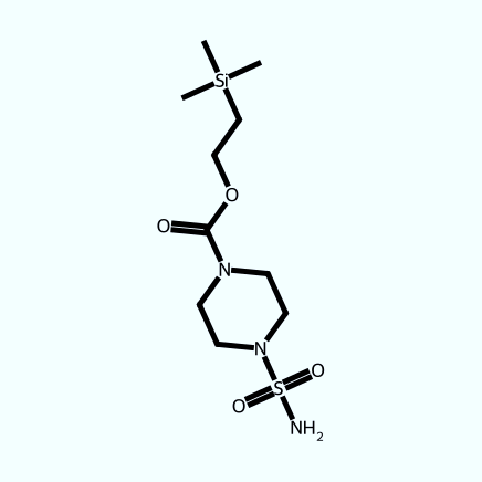 C[Si](C)(C)CCOC(=O)N1CCN(S(N)(=O)=O)CC1